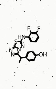 CC(c1ccc(O)cc1)c1nnc2sc(Nc3cccc(F)c3F)nn12